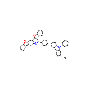 N#Cc1ccc2c3cc(-c4ccc(-c5nc6cc7c(cc6c6oc8ccccc8c56)oc5ccccc57)cc4)ccc3n(-c3ccccc3)c2c1